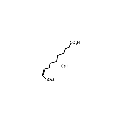 CCCCCCCC/C=C\CCCCCCCC(=O)O.[CsH]